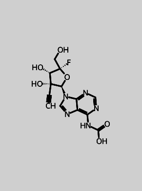 C#C[C@]1(O)[C@H](n2cnc3c(NC(=O)O)ncnc32)O[C@](F)(CO)[C@H]1O